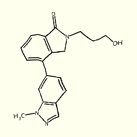 Cn1ncc2ccc(-c3cccc4c3CN(CCCO)C4=O)cc21